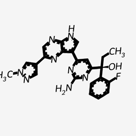 CC[C@@](O)(c1cc(-c2c[nH]c3ncc(-c4cnn(C)c4)nc23)nc(N)n1)c1ccccc1F